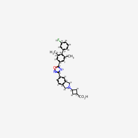 Cc1cc(-c2nc(-c3ccc4c(c3)CN(C3CC(C(=O)O)C3)C4)no2)cc(C)c1-c1cccc(F)c1